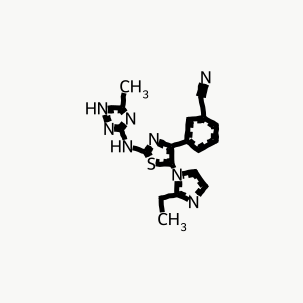 CCc1nccn1-c1sc(Nc2n[nH]c(C)n2)nc1-c1cccc(C#N)c1